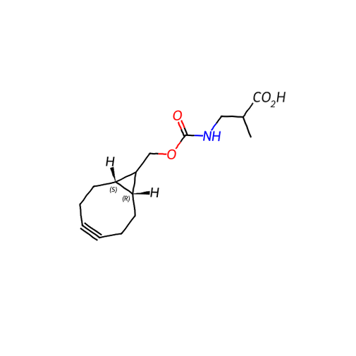 CC(CNC(=O)OCC1[C@H]2CCC#CCC[C@@H]12)C(=O)O